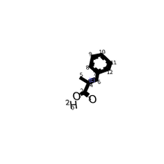 [2H]OC(=O)/C(C)=C/c1ccccc1